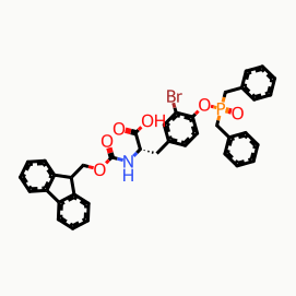 O=C(N[C@@H](Cc1ccc(OP(=O)(Cc2ccccc2)Cc2ccccc2)c(Br)c1)C(=O)O)OCC1c2ccccc2-c2ccccc21